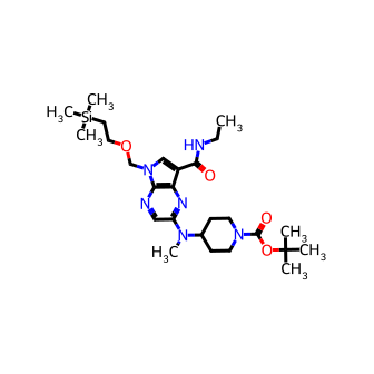 CCNC(=O)c1cn(COCC[Si](C)(C)C)c2ncc(N(C)C3CCN(C(=O)OC(C)(C)C)CC3)nc12